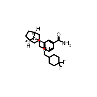 NC(=O)c1cccc([C@H]2C[C@H]3CC[C@@H](C2)N3CCNCC2CCC(F)(F)CC2)c1